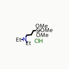 CCN(CC)CCC[Si](OC)(OC)OC.Cl